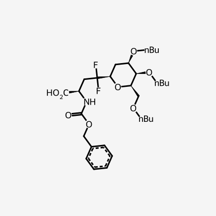 CCCCOC[C@H]1O[C@@H](C(F)(F)C[C@@H](NC(=O)OCc2ccccc2)C(=O)O)C[C@@H](OCCCC)[C@H]1OCCCC